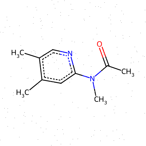 CC(=O)N(C)c1cc(C)c(C)cn1